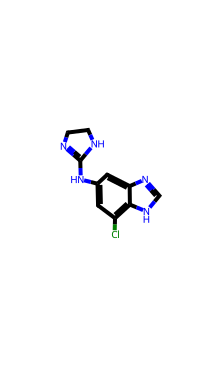 Clc1cc(NC2=NCCN2)cc2nc[nH]c12